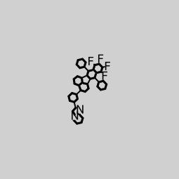 Fc1c(F)c(F)c2c(-c3ccccc3)c3c(c(-c4ccccc4)c2c1F)-c1cccc2c(-c4cccc(-c5cn6ccccc6n5)c4)ccc-3c12